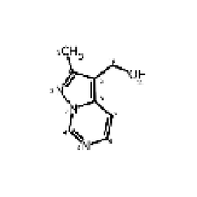 Cc1nn2cnccc2c1CO